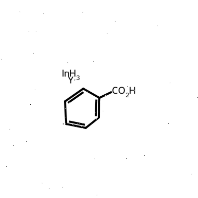 O=C(O)c1cc[c]cc1.[InH3].[Y]